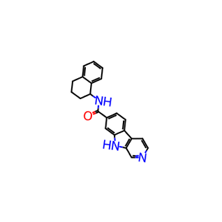 O=C(NC1CCCc2ccccc21)c1ccc2c(c1)[nH]c1cnccc12